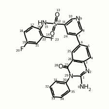 Nc1nc2ccc(-c3cncc(S(=O)(=O)Nc4ccc(F)cc4F)c3)cc2c(=O)n1-c1ccccc1